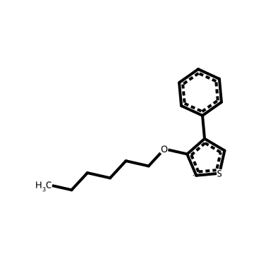 CCCCCCOc1[c]scc1-c1ccccc1